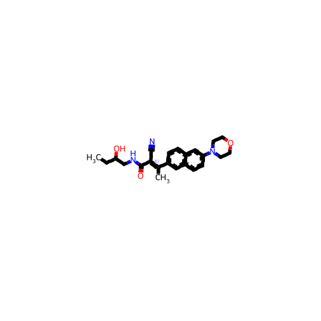 CCC(O)CNC(=O)/C(C#N)=C(\C)c1ccc2cc(N3CCOCC3)ccc2c1